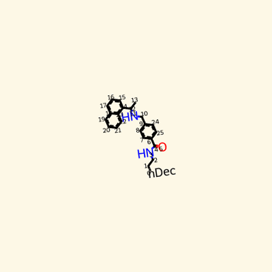 CCCCCCCCCCCCNC(=O)c1ccc(CNC(C)c2cccc3ccccc23)cc1